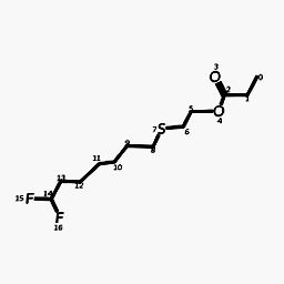 CCC(=O)OCCSCCCCCCC(F)F